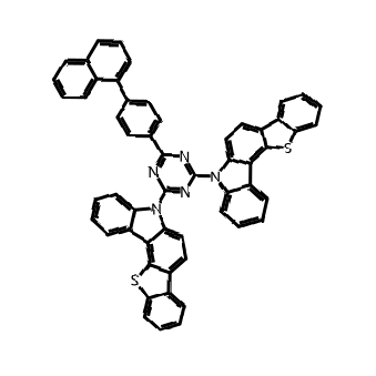 c1ccc2c(-c3ccc(-c4nc(-n5c6ccccc6c6c7sc8ccccc8c7ccc65)nc(-n5c6ccccc6c6c7sc8ccccc8c7ccc65)n4)cc3)cccc2c1